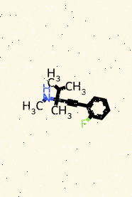 CNC(C)(C#Cc1ccccc1F)C(C)C